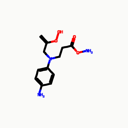 C=C(CN(CCC(=O)ON)c1ccc(N)cc1)OO